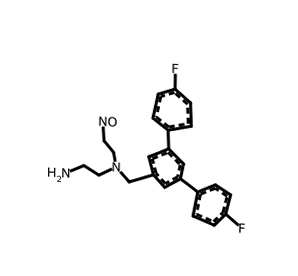 NCCN(CCN=O)Cc1cc(-c2ccc(F)cc2)cc(-c2ccc(F)cc2)c1